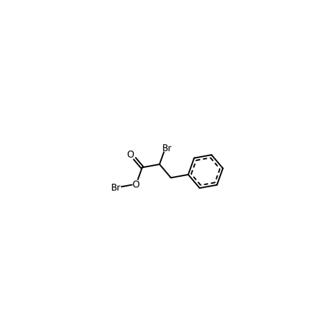 O=C(OBr)C(Br)Cc1ccccc1